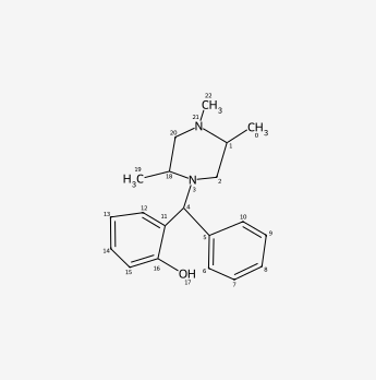 CC1CN(C(c2ccccc2)c2ccccc2O)C(C)CN1C